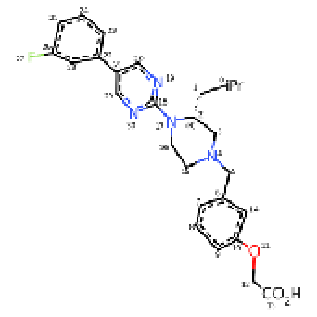 CC(C)C[C@@H]1CN(Cc2cccc(OCC(=O)O)c2)CCN1c1ncc(-c2cccc(F)c2)cn1